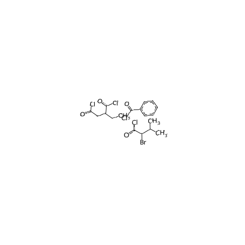 CC(C)C(Br)C(=O)Cl.CCC(CC(=O)Cl)C(=O)Cl.O=C(Cl)c1ccccc1